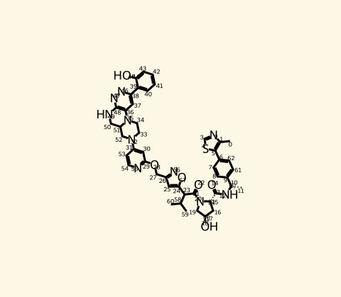 Cc1ncsc1-c1ccc([C@H](C)NC(=O)[C@@H]2C[C@@H](O)CN2C(=O)C(c2cc(COc3cc(N4CCN5c6cc(-c7ccccc7O)nnc6NCC5C4)ccn3)no2)C(C)C)cc1